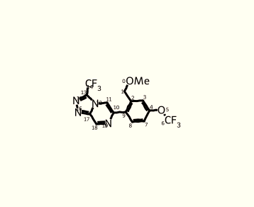 COCc1cc(OC(F)(F)F)ccc1-c1cn2c(C(F)(F)F)nnc2cn1